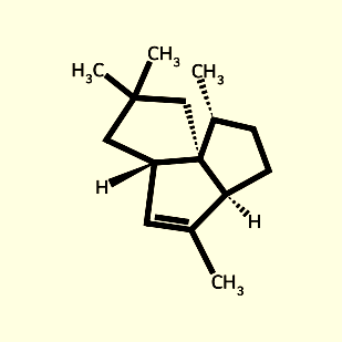 CC1=C[C@@H]2CC(C)(C)C[C@@]23[C@H](C)CC[C@@H]13